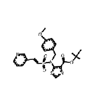 COc1ccc(CN(c2scnc2C(=O)OC(C)(C)C)S(=O)(=O)/C=C/c2cccnc2)cc1